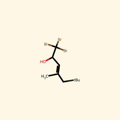 CC(=CC(O)C(Br)(Br)Br)CC(C)(C)C